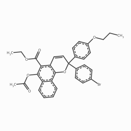 CCCOc1ccc(C2(c3ccc(Br)cc3)C=Cc3c(C(=O)OCC)c(OC(C)=O)c4ccccc4c3O2)cc1